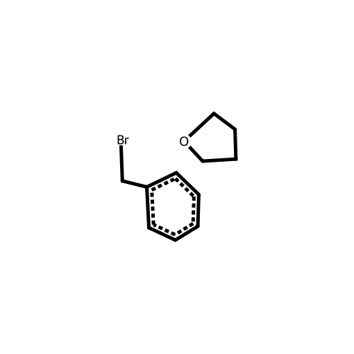 BrCc1ccccc1.C1CCOC1